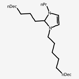 CCCCCCCCCCCCCCCN1C=CN(CCC)C1CCCCCCCCCCCCC